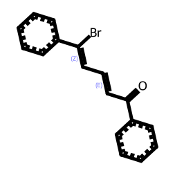 O=C(/C=C/C=C(\Br)c1ccccc1)c1ccccc1